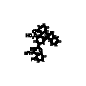 CCCC(NC(=O)c1ccc(-c2c(Cl)cccc2-c2nc3ccccc3[nH]2)c(C(=O)O)c1)c1ccccc1F